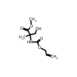 C=CCOC(=O)NC(C)(CO)C(=O)OC